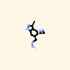 C#N.C#N.Cc1n[nH]c2cc(C=NN)ccc12